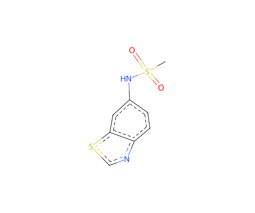 CS(=O)(=O)Nc1ccc2ncsc2c1